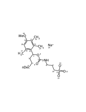 CCCCCCCCCCCCC(OC(=O)NCCCS(=O)(=O)[O-])c1c(C)cc(OC)c(C)c1C.[Na+]